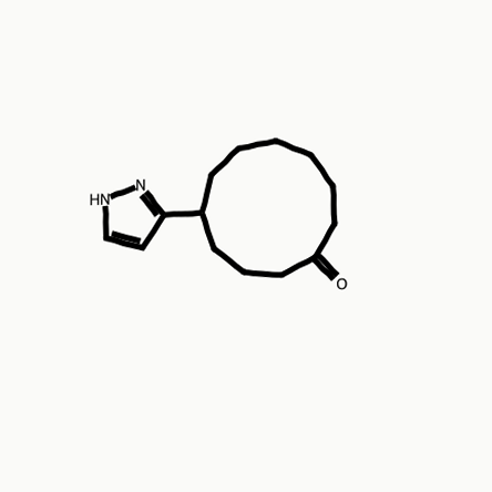 O=C1CCCCCCC(c2cc[nH]n2)CCC1